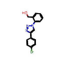 OCc1ccccc1-n1cc(-c2ccc(Br)cc2)nn1